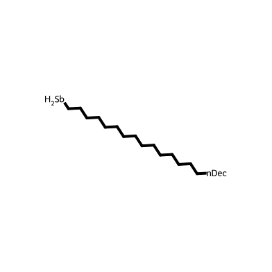 CCCCCCCCCCCCCCCCCCCCCCCC[CH2][SbH2]